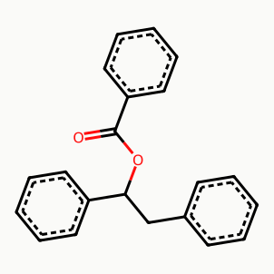 O=C(OC(Cc1ccccc1)c1ccccc1)c1ccccc1